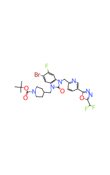 CC(C)(C)OC(=O)N1CCC(Cn2c(=O)n(Cc3ccc(-c4nnc(C(F)F)o4)cn3)c3cc(F)c(Br)cc32)CC1